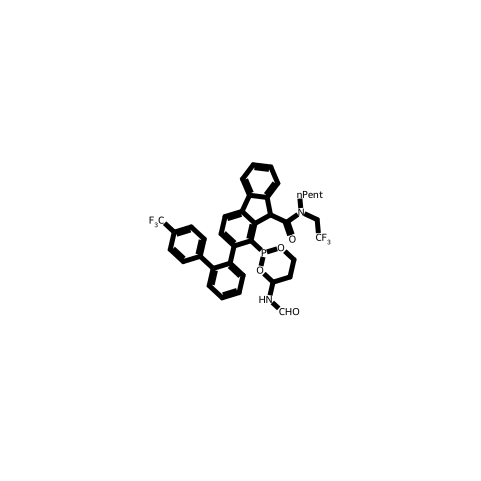 CCCCCN(CC(F)(F)F)C(=O)C1c2ccccc2-c2ccc(-c3ccccc3-c3ccc(C(F)(F)F)cc3)c(P3OCCC(NC=O)O3)c21